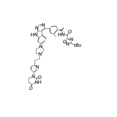 Cc1cc(-c2ncnc3[nH]c4cc(N5CCN(CCc6ccc(N7CCC(=O)NC7=O)cn6)CC5)ccc4c23)ccc1[C@@H](C)NC(=O)c1nc(C(C)(C)C)no1